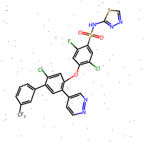 O=S(=O)(Nc1nncs1)c1cc(Cl)c(Oc2cc(Cl)c(-c3cccc(C(F)(F)F)c3)cc2-c2ccnnc2)cc1F